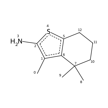 Cc1c(N)sc2c1C(C)(C)CCC2